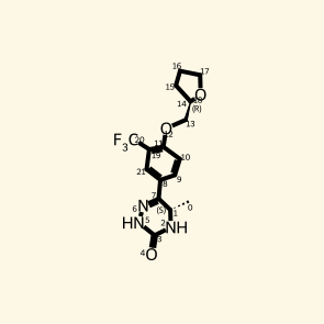 C[C@@H]1NC(=O)NN=C1c1ccc(OC[C@H]2CCCO2)c(C(F)(F)F)c1